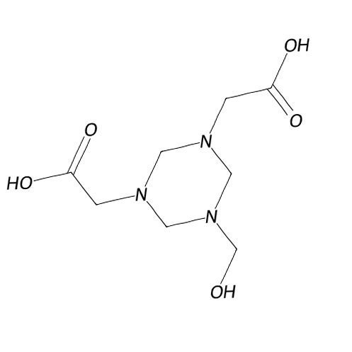 O=C(O)CN1CN(CO)CN(CC(=O)O)C1